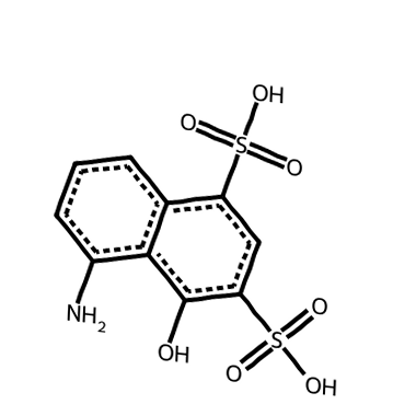 Nc1cccc2c(S(=O)(=O)O)cc(S(=O)(=O)O)c(O)c12